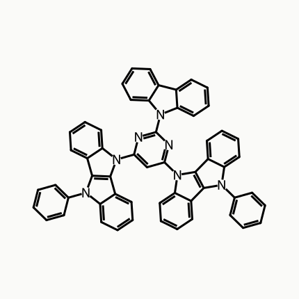 c1ccc(-n2c3ccccc3c3c2c2ccccc2n3-c2cc(-n3c4ccccc4c4c3c3ccccc3n4-c3ccccc3)nc(-n3c4ccccc4c4ccccc43)n2)cc1